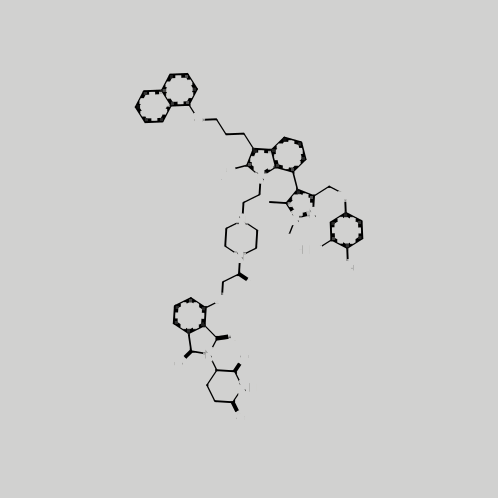 Cc1c(-c2cccc3c(CCCOc4cccc5ccccc45)c(C(=O)O)n(CCN4CCN(C(=O)COc5cccc6c5C(=O)N(C5CCC(=O)NC5=O)C6=O)CC4)c23)c(COc2ccc(Br)c(C=O)c2)nn1C